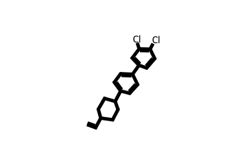 C=CC1CCC(c2ccc(-c3ccc(Cl)c(Cl)c3)cc2)CC1